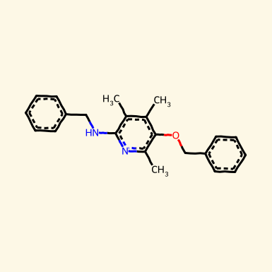 Cc1nc(NCc2ccccc2)c(C)c(C)c1OCc1ccccc1